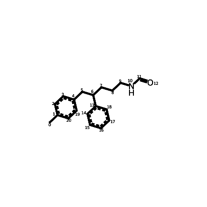 Cc1ccc(CC(CCCNC=O)c2ccccc2)cc1